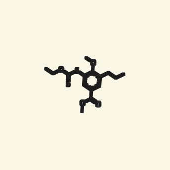 CCCc1cc(C(=O)OC)cc(SC(=S)OCC)c1OC